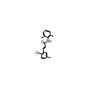 Cc1ccc(Cl)c(C=CC(=O)Nc2c(C)cccc2C)c1